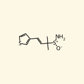 CC(C)(/C=C/c1ccsc1)[S+](N)[O-]